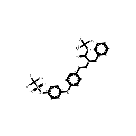 CC(C)(C)OC(=O)N(CCc1ccc(Sc2ccc(OS(=O)(=O)C(F)(F)F)cc2)cc1)Cc1ccccc1